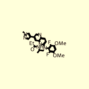 CCC(=O)NC(C)CN(c1ccc2ncc(-c3cnn(C)c3)cc2n1)c1c(F)c(OC)cc(OC)c1F